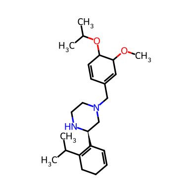 COC1C=C(CN2CCN[C@H](C3=C(C(C)C)CCC=C3)C2)C=CC1OC(C)C